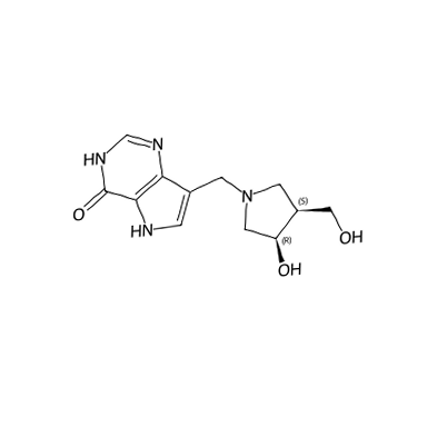 O=c1[nH]cnc2c(CN3C[C@@H](CO)[C@@H](O)C3)c[nH]c12